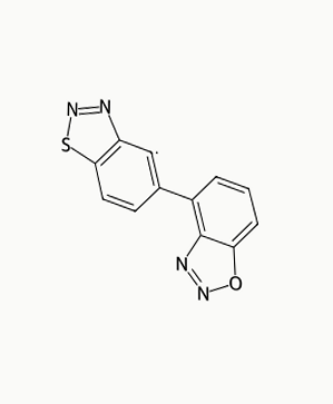 [c]1c(-c2cccc3onnc23)ccc2snnc12